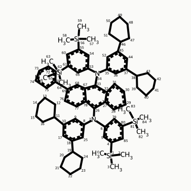 C[Si](C)(C)c1cc(N(c2cc(C3CCCCC3)cc(C3CCCCC3)c2)c2c3ccccc3c(N(c3cc(C4CCCCC4)cc(C4CCCCC4)c3)c3cc([Si](C)(C)C)cc([Si](C)(C)C)c3)c3cc(-c4ccccc4)ccc23)cc([Si](C)(C)C)c1